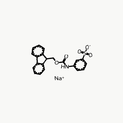 O=C(Nc1cccc(S(=O)(=O)[O-])c1)OCC1c2ccccc2-c2ccccc21.[Na+]